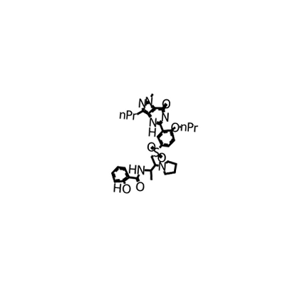 CCCOc1ccc(S(=O)(=O)CC(C(C)NC(=O)c2ccccc2O)N2CCCC2)cc1-c1nc(=O)c2c([nH]1)c(CCC)nn2C